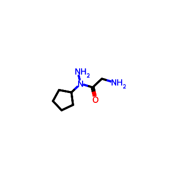 NCC(=O)N(N)C1CCCC1